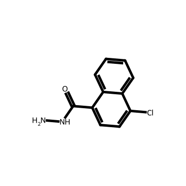 NNC(=O)c1ccc(Cl)c2ccccc12